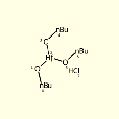 CCCC[O][Hf]([O]CCCC)[O]CCCC.Cl